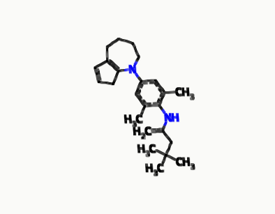 C=C(CC(C)(C)C)Nc1c(C)cc(N2CCCCC3=C2CC=C3)cc1C